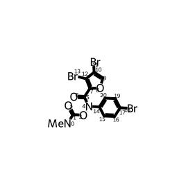 CNC(=O)ON(C(=O)c1occ(Br)c1Br)c1ccc(Br)cc1